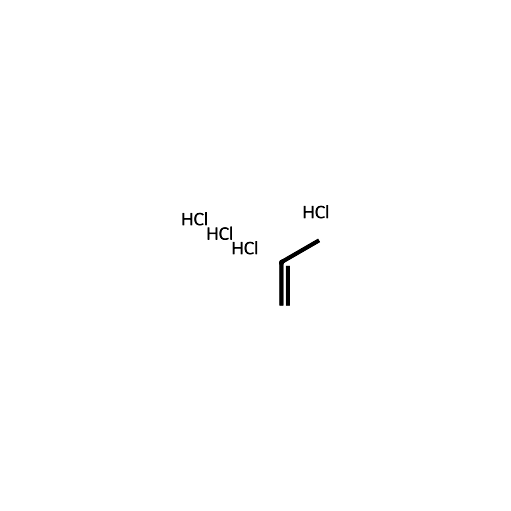 C=CC.Cl.Cl.Cl.Cl